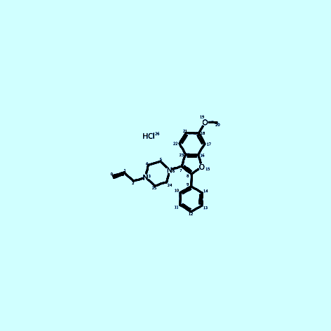 C=CCN1CCN(c2c(-c3ccccc3)oc3cc(OC)ccc23)CC1.Cl